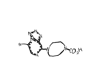 O=C(O)N1CCN(c2ncc(Br)n3nnnc23)CC1